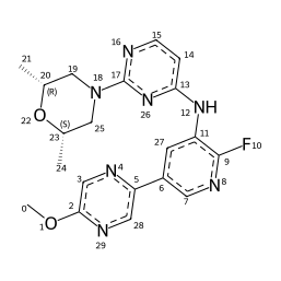 COc1cnc(-c2cnc(F)c(Nc3ccnc(N4C[C@@H](C)O[C@@H](C)C4)n3)c2)cn1